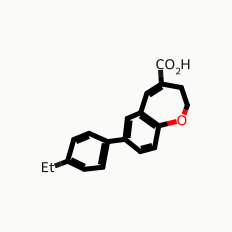 CCc1ccc(-c2ccc3c(c2)C=C(C(=O)O)CCO3)cc1